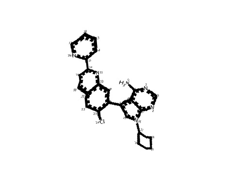 Nc1ncnc2c1c(-c1cc3nc(-c4ccccn4)ccc3cc1Cl)cn2C1CCC1